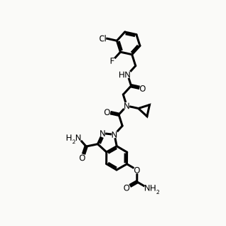 NC(=O)Oc1ccc2c(C(N)=O)nn(CC(=O)N(CC(=O)NCc3cccc(Cl)c3F)C3CC3)c2c1